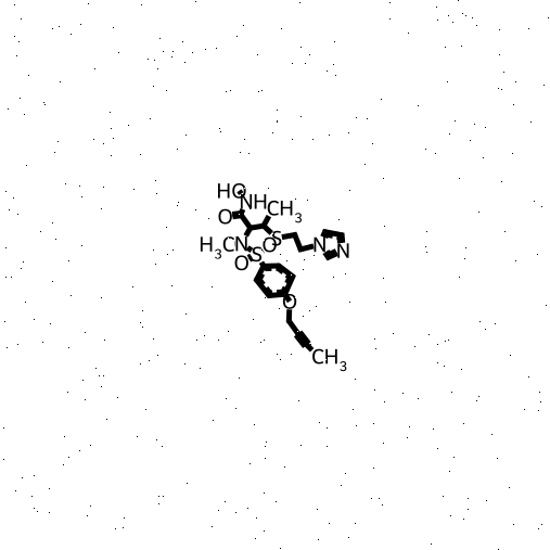 CC#CCOc1ccc(S(=O)(=O)N(C)C(C(=O)NO)C(C)SCCn2ccnc2)cc1